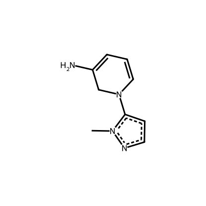 Cn1nccc1N1C=CC=C(N)C1